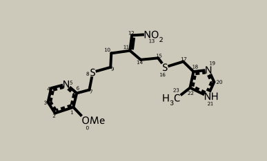 COc1cccnc1CSCC/C(=C/[N+](=O)[O-])CCSCc1nc[nH]c1C